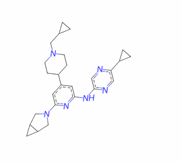 c1nc(C2CC2)cnc1Nc1cc(C2CCN(CC3CC3)CC2)cc(N2CC3CC3C2)n1